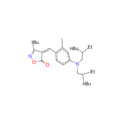 CCCCC(CC)CN(CC(CC)CCCC)c1ccc(/C=C2\C(=O)ON=C2C(C)(C)C)c(C)c1